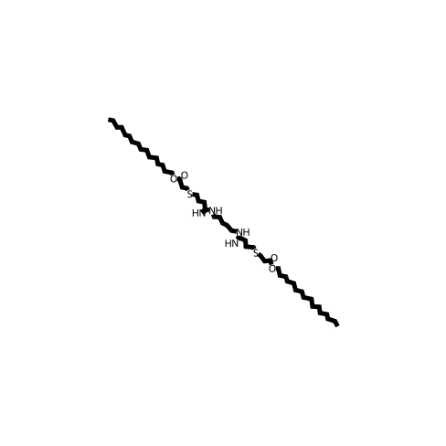 CCCCCCCCCCCCCCCCOC(=O)CCSCCCC(=N)NCCCCCNC(=N)CCCSCCC(=O)OCCCCCCCCCCCCCCCC